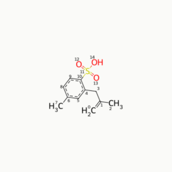 C=C(C)Cc1cc(C)ccc1S(=O)(=O)O